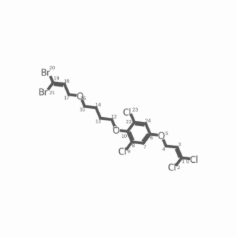 ClC(Cl)=CCOc1cc(Cl)c(OCCCCOCC=C(Br)Br)c(Cl)c1